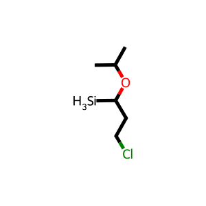 CC(C)OC([SiH3])CCCl